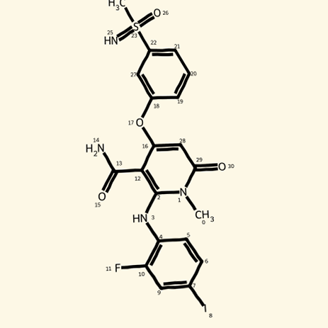 Cn1c(Nc2ccc(I)cc2F)c(C(N)=O)c(Oc2cccc(S(C)(=N)=O)c2)cc1=O